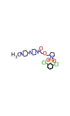 CN1CCC(N2CCN(C(=O)COCC3CCCN3S(=O)(=O)c3c(Cl)cccc3Cl)CC2)CC1